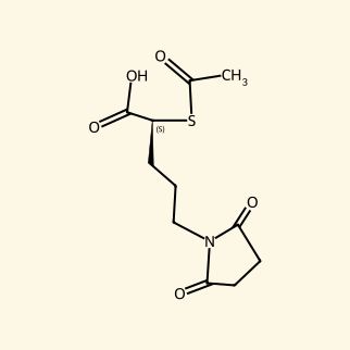 CC(=O)S[C@@H](CCCN1C(=O)CCC1=O)C(=O)O